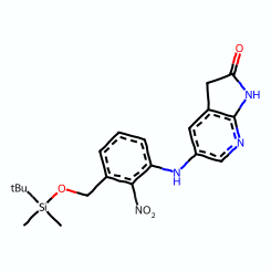 CC(C)(C)[Si](C)(C)OCc1cccc(Nc2cnc3c(c2)CC(=O)N3)c1[N+](=O)[O-]